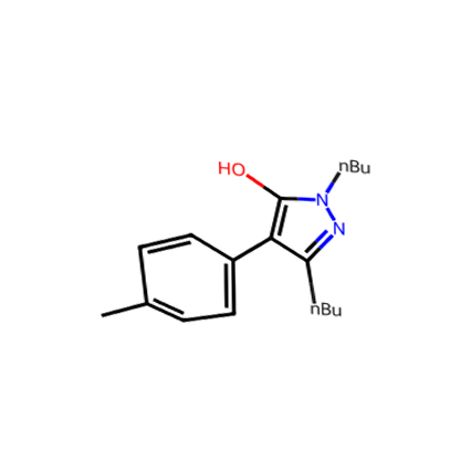 CCCCc1nn(CCCC)c(O)c1-c1ccc(C)cc1